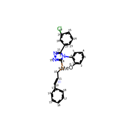 COc1ccccc1-n1c(SC/C=C/c2ccccc2)nnc1-c1cccc(Cl)c1